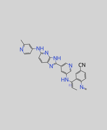 C=Nc1ccc(C#N)cc1/C(=C\C)Nc1cncc(-c2nc3ccc(Nc4ccnc(C)c4)nc3[nH]2)c1